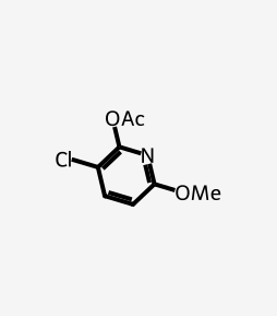 COc1ccc(Cl)c(OC(C)=O)n1